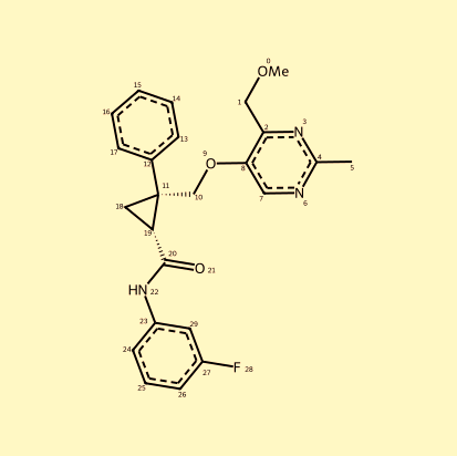 COCc1nc(C)ncc1OC[C@@]1(c2ccccc2)C[C@H]1C(=O)Nc1cccc(F)c1